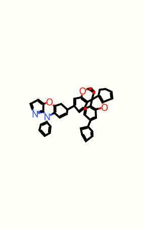 C1=CC2=C(CC1)C1(c3ccc(-c4ccccc4)cc3O2)c2ccccc2Oc2cc(C3C=CC4=C(C3)Oc3cccnc3N4c3ccccc3)ccc21